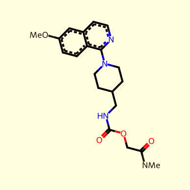 CNC(=O)COC(=O)NCC1CCN(c2nccc3cc(OC)ccc23)CC1